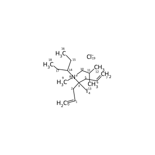 C=CCC(I)(CC=C)[N+](C)(CC(C)C)C(CC)CC.[Cl-]